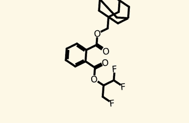 O=C(OCC12CC3CC(CC(C3)C1)C2)c1ccccc1C(=O)OC(CF)C(F)F